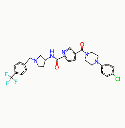 O=C(NC1CCN(Cc2ccc(C(F)(F)F)cc2)C1)c1ccc(C(=O)N2CCN(c3ccc(Cl)cc3)CC2)cn1